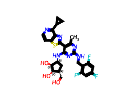 Cc1nc(NCc2c(F)cc(F)cc2F)nc(N[C@@H]2C[C@H](CO)[C@@H](O)[C@H]2O)c1-c1nc2c(C3CC3)nccc2s1